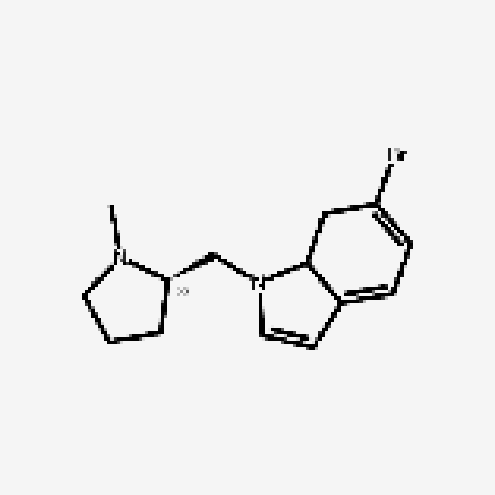 CN1CCC[C@@H]1CN1C=CC2=CC=C(Br)CC21